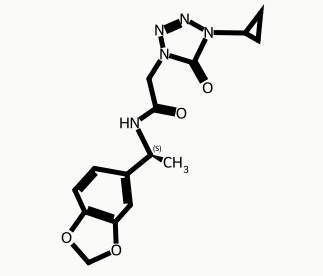 C[C@H](NC(=O)Cn1nnn(C2CC2)c1=O)c1ccc2c(c1)OCO2